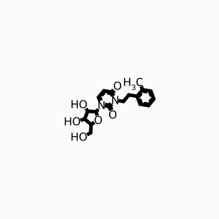 Cc1ccccc1CCn1c(=O)ccn(C2OC(CO)C(O)C2O)c1=O